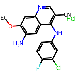 CCOc1cc2ncc(C#N)c(Nc3ccc(F)c(Cl)c3)c2cc1N.Cl